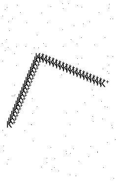 [K+].[K+].[K+].[K+].[K+].[K+].[K+].[K+].[K+].[K+].[K+].[K+].[K+].[K+].[K+].[K+].[K+].[K+].[K+].[K+].[K+].[K+].[K+].[K+].[K+].[K+].[K+].[K+].[K+].[K+].[K+].[K+].[K+].[K+].[K+].[K+].[K+].[K+].[K+].[K+]